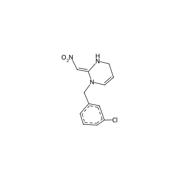 O=[N+]([O-])C=C1NCC=CN1Cc1cccc(Cl)c1